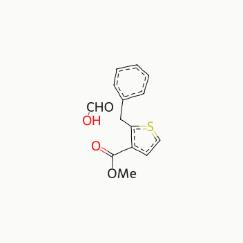 COC(=O)c1ccsc1Cc1ccccc1.O=CO